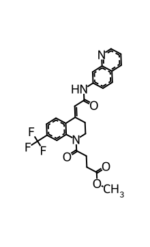 COC(=O)CCC(=O)N1CCC(=CC(=O)Nc2ccc3cccnc3c2)c2ccc(C(F)(F)F)cc21